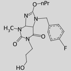 CCCOC1=NC2C(C(=O)N(CCCO)C(=O)N2C)N1Cc1ccc(F)cc1